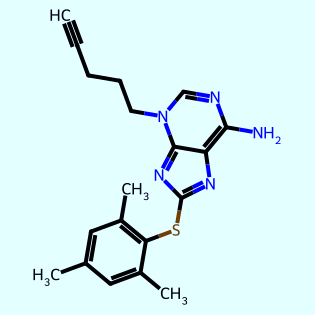 C#CCCCn1cnc(N)c2nc(Sc3c(C)cc(C)cc3C)nc1-2